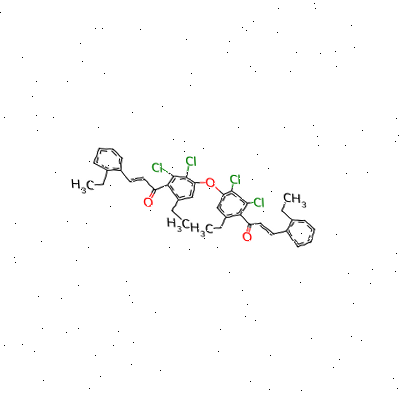 CCc1ccccc1C=CC(=O)c1c(CC)cc(Oc2cc(CC)c(C(=O)C=Cc3ccccc3CC)c(Cl)c2Cl)c(Cl)c1Cl